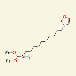 CCOC(OCC)[SiH2]CCCCCCCCCCN1C=COC1